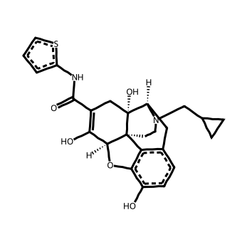 O=C(Nc1cccs1)C1=C(O)[C@@H]2Oc3c(O)ccc4c3[C@@]23CCN(CC2CC2)[C@H](C4)[C@]3(O)C1